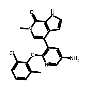 Cc1cccc(Cl)c1Oc1ncc(N)cc1-c1cn(C)c(=O)c2[nH]ccc12